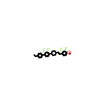 CCc1ccc(-c2ccc(C3CCC(/C=C/c4ccc(OC)c(F)c4F)CC3)c(F)c2F)cc1